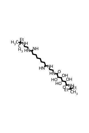 CCC(C)(C)NCCNC(=N)CCCCCCC(=N)NCCNC(=O)[C@H](O)[C@@H](O)[C@@H](O)[C@H](O)C(=O)NC(C)(CC)CC